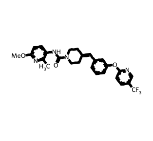 COc1ccc(NC(=O)N2CCC(=Cc3cccc(Oc4ccc(C(F)(F)F)cn4)c3)CC2)c(C)n1